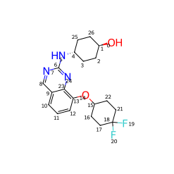 O[C@H]1CC[C@H](Nc2ncc3cccc(OC4CCC(F)(F)CC4)c3n2)CC1